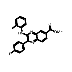 COC(=O)c1ccc2nc(-c3ccc(F)cc3)c(Nc3ccccc3C)nc2c1